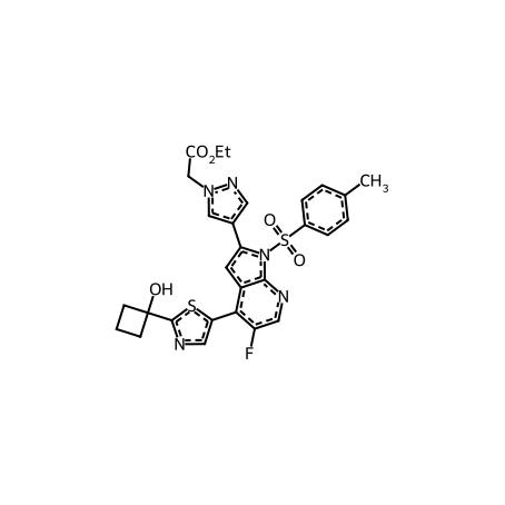 CCOC(=O)Cn1cc(-c2cc3c(-c4cnc(C5(O)CCC5)s4)c(F)cnc3n2S(=O)(=O)c2ccc(C)cc2)cn1